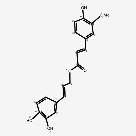 COc1cc(/C=C/C(=O)OC/C=C/c2ccc(O)c(O)c2)ccc1O